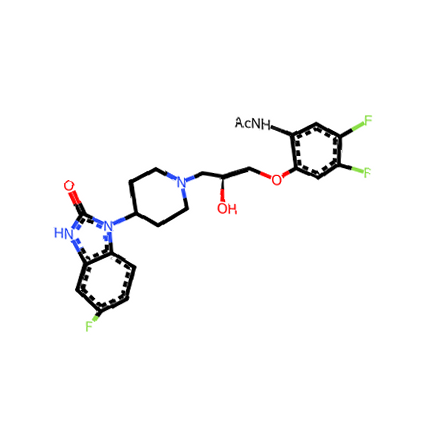 CC(=O)Nc1cc(F)c(F)cc1OC[C@@H](O)CN1CCC(n2c(=O)[nH]c3cc(F)ccc32)CC1